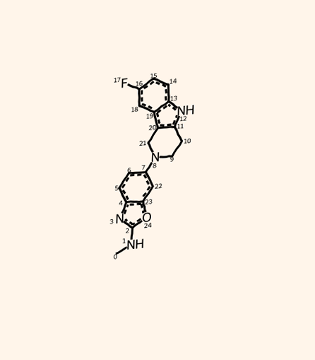 CNc1nc2ccc(N3CCc4[nH]c5ccc(F)cc5c4C3)cc2o1